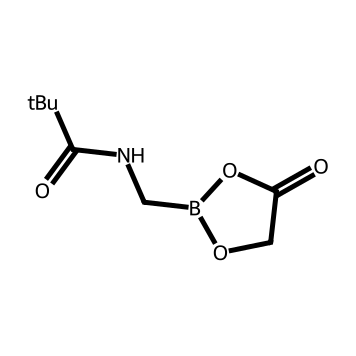 CC(C)(C)C(=O)NCB1OCC(=O)O1